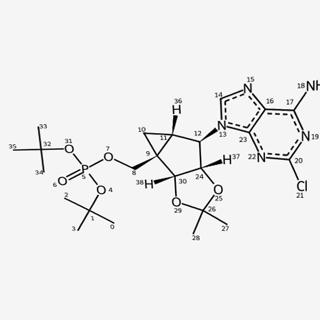 CC(C)(C)OP(=O)(OC[C@@]12C[C@@H]1[C@@H](n1cnc3c(N)nc(Cl)nc31)[C@@H]1OC(C)(C)O[C@@H]12)OC(C)(C)C